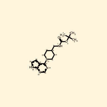 CC(C)(C)OC(=O)NCC1CCN(c2ncnc3[nH]ccc23)CC1